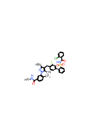 CCCCc1nn(-c2cc(C(=O)NCCC)ccc2C(F)(F)F)c(C#N)c1Cc1ccc(-c2ccccc2S(=O)(=O)NC(=O)c2ccccc2Cl)cc1F